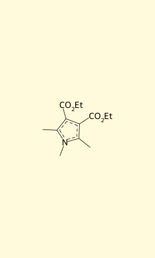 CCOC(=O)c1c(C(=O)OCC)c(C)n(C)c1C